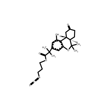 CC(C)(C(=O)OCCCN=C=S)c1cc(O)c2c(c1)OC(C)(C)[C@@H]1CCC(=O)C[C@@H]21